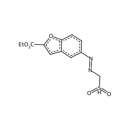 CCOC(=O)c1cc2cc(N=NC[SH](=O)=O)ccc2o1